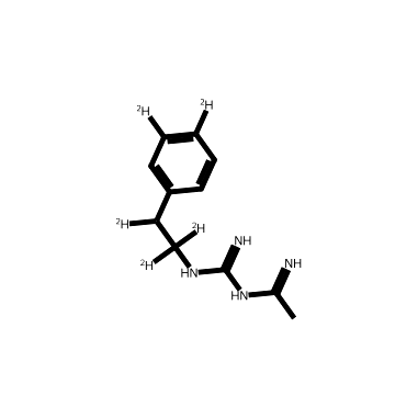 [2H]c1ccc(C([2H])C([2H])([2H])NC(=N)NC(C)=N)cc1[2H]